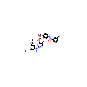 Cc1cc(Nc2ncc3c(n2)N(C)C(=O)N(c2cc(NC(=O)c4cccc(CF)c4)ccc2C)C3)cc(C)n1